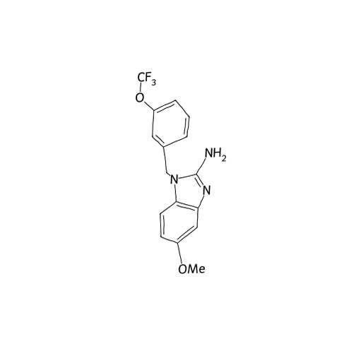 COc1ccc2c(c1)nc(N)n2Cc1cccc(OC(F)(F)F)c1